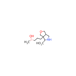 CB(O)CCCC12COCC1CNC2C(=O)O